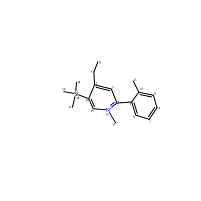 CCc1cc(-c2ccccc2C)[n+](C)cc1[Si](C)(C)C